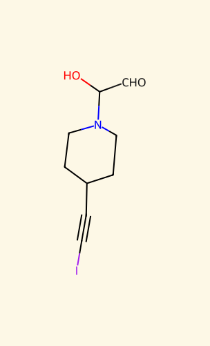 O=CC(O)N1CCC(C#CI)CC1